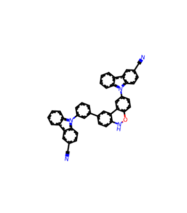 N#Cc1ccc2c(c1)c1ccccc1n2-c1cccc(-c2ccc3c(c2)-c2cc(-n4c5ccccc5c5cc(C#N)ccc54)ccc2ON3)c1